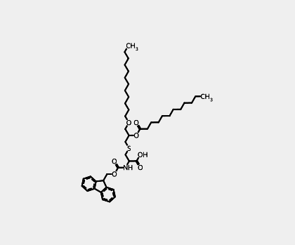 CCCCCCCCCCCCOCC(CSCC(NC(=O)OCC1c2ccccc2-c2ccccc21)C(=O)O)OC(=O)CCCCCCCCCCC